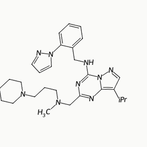 CC(C)c1cnn2c(NCc3ccccc3-n3cccn3)nc(CN(C)CCCN3CCCCC3)nc12